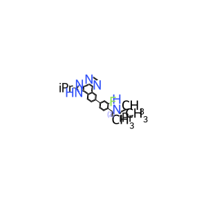 C/C=C(\NC(=C(C)C)C(C)C)c1ccc(-c2ccc3c(c2)c2nccnc2c2nc(C(C)C)[nH]c32)cc1F